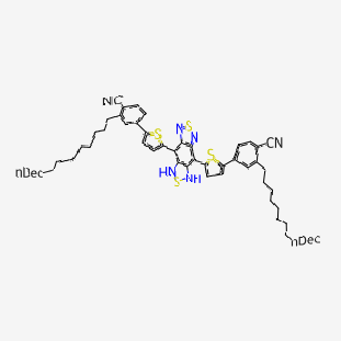 CCCCCCCCCCCCCCCCCCc1cc(-c2ccc(-c3c4c(c(-c5ccc(-c6ccc(C#N)c(CCCCCCCCCCCCCCCCCC)c6)s5)c5nsnc35)NSN4)s2)ccc1C#N